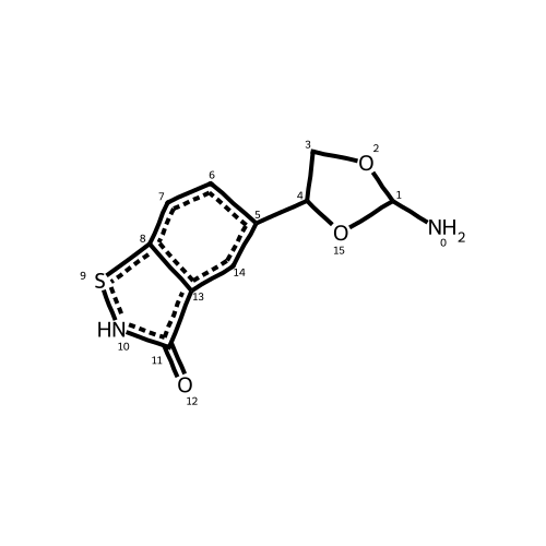 NC1OCC(c2ccc3s[nH]c(=O)c3c2)O1